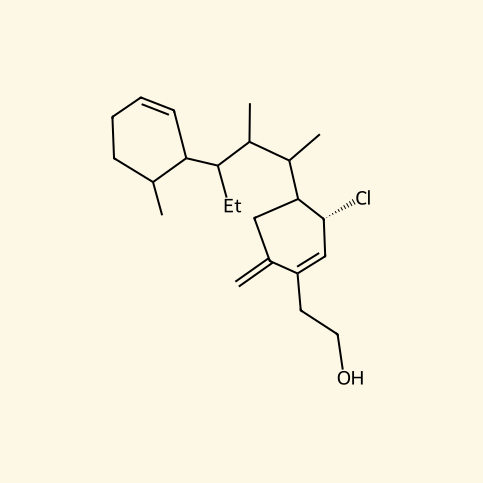 C=C1CC(C(C)C(C)C(CC)C2C=CCCC2C)[C@H](Cl)C=C1CCO